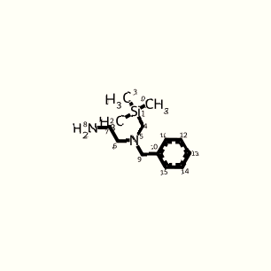 C[Si](C)(C)CN(CCN)Cc1ccccc1